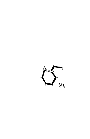 CC[SiH]1CCCCO1.[AlH3]